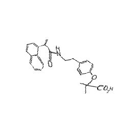 C=C(C(=O)NCCc1ccc(OC(C)(C)C(=O)O)cc1)c1cccc2ccccc12